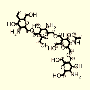 CCC1C(CO)OC(COCC2C(CO)OC(COCC3C(CO)OC(COC[C@@H]4C(CO)OC(CO)C(N)[C@@H]4O)[C@@H](NC(C)=O)C3O)[C@@H](N)C2O)[C@@H](N)C1O